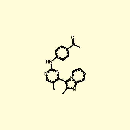 CC(=O)c1ccc(Nc2ncc(C)c(-c3c(C)nc4ccccn34)n2)cc1